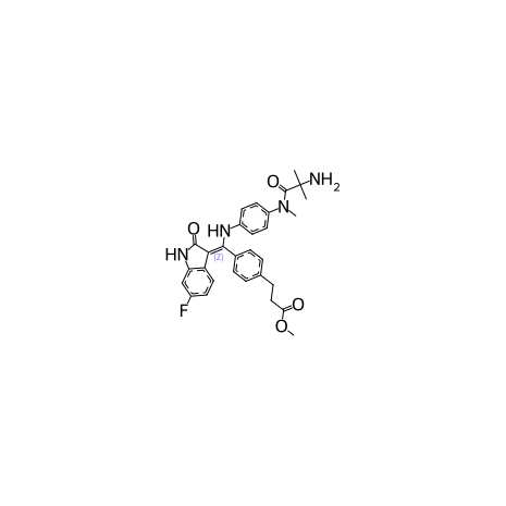 COC(=O)CCc1ccc(/C(Nc2ccc(N(C)C(=O)C(C)(C)N)cc2)=C2/C(=O)Nc3cc(F)ccc32)cc1